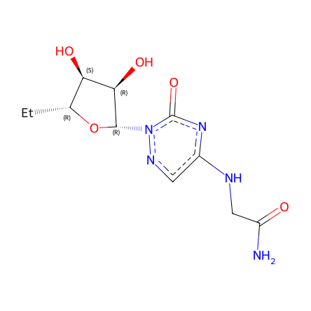 CC[C@H]1O[C@@H](n2ncc(NCC(N)=O)nc2=O)[C@H](O)[C@@H]1O